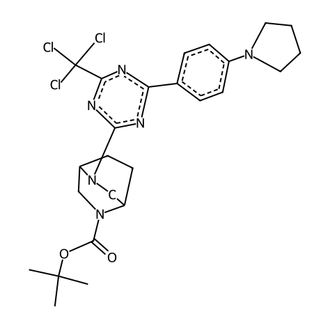 CC(C)(C)OC(=O)N1CC2CCC1CN2c1nc(-c2ccc(N3CCCC3)cc2)nc(C(Cl)(Cl)Cl)n1